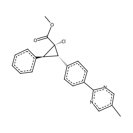 COC(=O)[C@]1(Cl)[C@H](c2ccccc2)[C@H]1c1ccc(-c2ncc(C)cn2)cc1